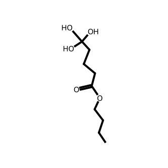 CCCCOC(=O)CCCC(O)(O)O